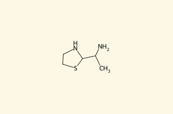 CC(N)C1NCCS1